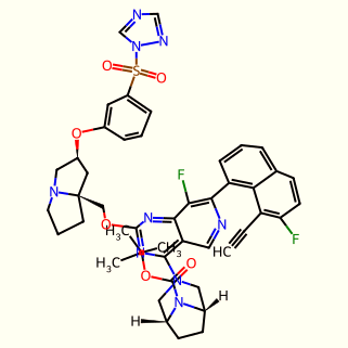 C#Cc1c(F)ccc2cccc(-c3ncc4c(N5C[C@H]6CC[C@@H](C5)N6C(=O)OC(C)(C)C)nc(OC[C@@]56CCCN5C[C@@H](Oc5cccc(S(=O)(=O)n7cncn7)c5)C6)nc4c3F)c12